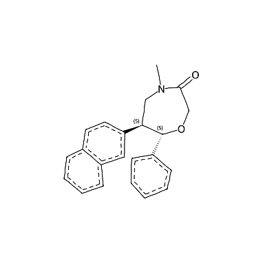 CN1C[C@H](c2ccc3ccccc3c2)[C@@H](c2ccccc2)OCC1=O